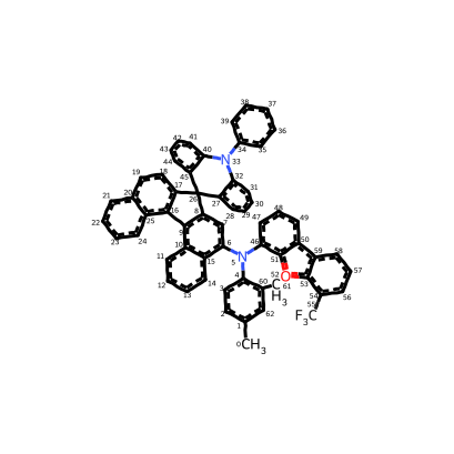 Cc1ccc(N(c2cc3c(c4ccccc24)-c2c(ccc4ccccc24)C32c3ccccc3N(c3ccccc3)c3ccccc32)c2cccc3c2oc2c(C(F)(F)F)cccc23)c(C)c1